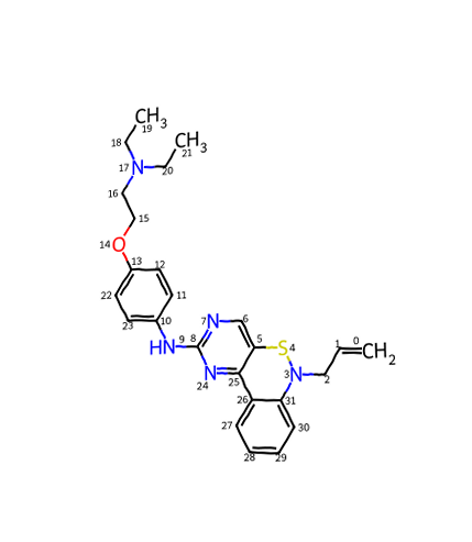 C=CCN1Sc2cnc(Nc3ccc(OCCN(CC)CC)cc3)nc2-c2ccccc21